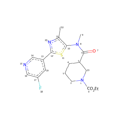 CCOC(=O)N1CCCC(C(=O)N(C)c2sc(-c3cncc(F)c3)nc2C)C1